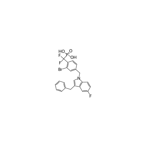 O=P(O)(O)C(F)(F)c1ccc(Cn2cc(Cc3ccccc3)c3cc(F)ccc32)cc1Br